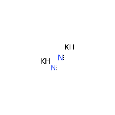 [KH].[KH].[N].[N]